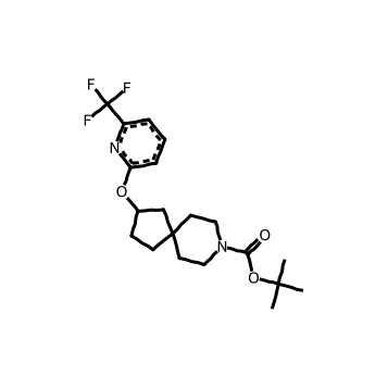 CC(C)(C)OC(=O)N1CCC2(CCC(Oc3cccc(C(F)(F)F)n3)C2)CC1